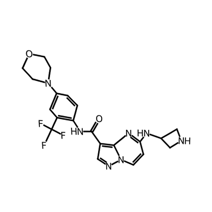 O=C(Nc1ccc(N2CCOCC2)cc1C(F)(F)F)c1cnn2ccc(NC3CNC3)nc12